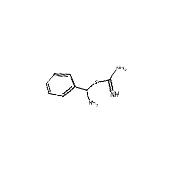 N=C(N)SC(N)c1ccccc1